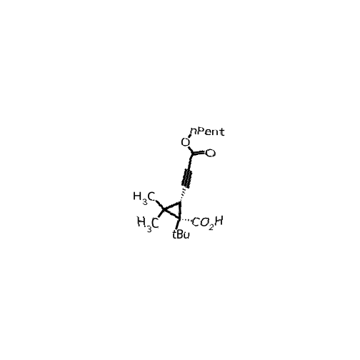 CCCCCOC(=O)C#C[C@H]1C(C)(C)[C@]1(C(=O)O)C(C)(C)C